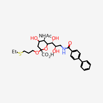 CCSCCCO[C@]1(C(=O)O)CC(O)[C@@H](NC(C)=O)C([C@H](O)[C@H](O)CNC(=O)c2ccc(-c3ccccc3)cc2)O1